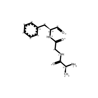 C[C@H](N)C(=O)NCC(=O)N[C@H]([C]=O)Cc1ccccc1